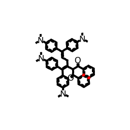 CN(C)c1ccc(C(=CCC(=C(c2ccc(N(C)C)cc2)c2ccc(N(C)C)cc2)C(C(=O)c2ccccc2)C(=O)c2ccccc2)c2ccc(N(C)C)cc2)cc1